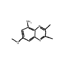 COc1cc(N)c2nc(C)c(C)nc2c1